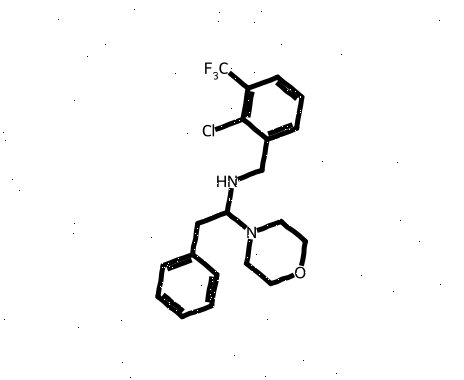 FC(F)(F)c1cccc(CNC(Cc2ccccc2)N2CCOCC2)c1Cl